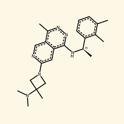 Cc1cccc([C@@H](C)Nc2nnc(C)c3cnc(N4CC(C)(N(C)C)C4)cc23)c1C